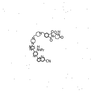 CC(C)Nc1cc(-c2ccc3cc(C#N)cnn23)ncc1-c1nnc(N2CCN(CC3CCN(Cc4ccc5c(c4)C(=O)N(C4CCC(=O)NC4=O)C5=O)CC3)CC2)s1